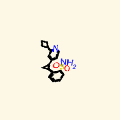 NS(=O)(=O)c1ccccc1C1CC1c1ccnc(C2CCC2)c1